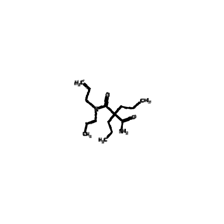 CCCN(CCC)C(=O)C(CCC)(CCC)C(N)=O